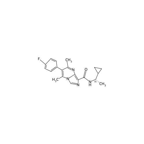 Cc1nc2c(C(=O)N[C@@H](C)C3CC3)ncn2c(C)c1-c1ccc(F)cc1